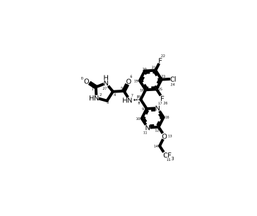 O=C1NCC(C(=O)N[C@@H](c2cnc(OCC(F)(F)F)cn2)c2ccc(F)c(Cl)c2F)N1